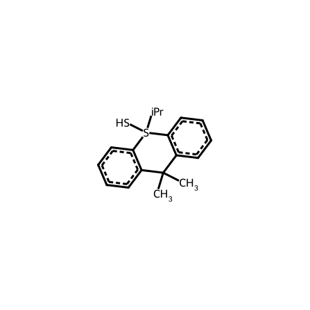 CC(C)S1(S)c2ccccc2C(C)(C)c2ccccc21